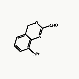 CCCc1cccc2c1N=C(C=O)OC2